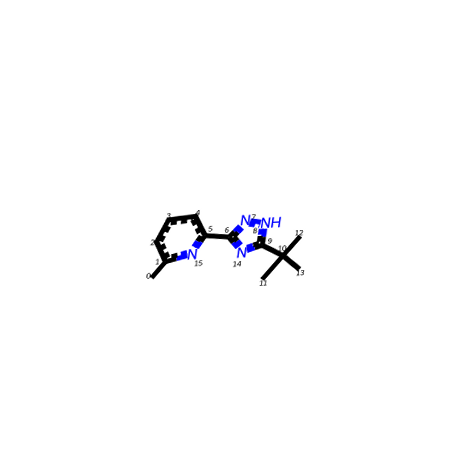 Cc1cccc(-c2n[nH]c(C(C)(C)C)n2)n1